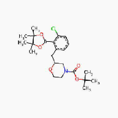 CC(C)(C)OC(=O)N1CCOC(Cc2cccc(Cl)c2B2OC(C)(C)C(C)(C)O2)C1